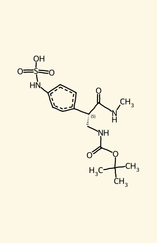 CNC(=O)[C@H](CNC(=O)OC(C)(C)C)c1ccc(NS(=O)(=O)O)cc1